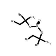 CC(Br)(CBr)O[PH](=O)OC(C)(Br)CBr